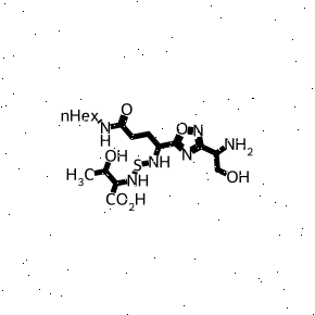 CCCCCCNC(=O)CCC(NSNC(C(=O)O)C(C)O)c1nc(C(N)CO)no1